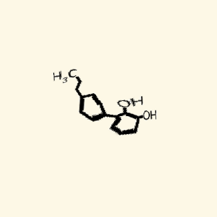 CCCc1ccc(-c2cccc(O)c2O)cc1